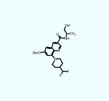 COc1cc(N2CCC(C(F)F)CC2)c2ncc(C(=O)N[C@H](C)CO)cc2c1